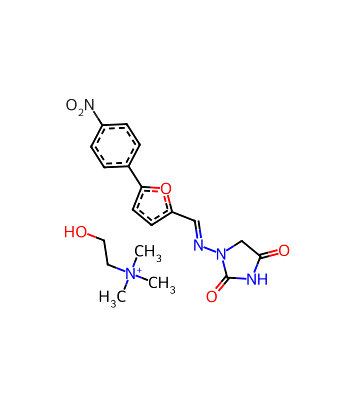 C[N+](C)(C)CCO.O=C1CN(N=Cc2ccc(-c3ccc([N+](=O)[O-])cc3)o2)C(=O)N1